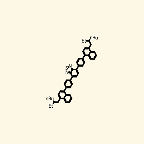 CCCCC(CC)Cc1ccc(-c2ccc(-c3ccc(-c4ccc(-c5ccc(CC(CC)CCCC)c6ccccc56)cc4)c4nsnc34)cc2)c2ccccc12